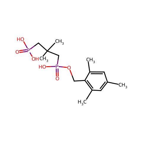 Cc1cc(C)c(COP(=O)(O)CC(C)(C)CP(=O)(O)O)c(C)c1